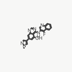 Cn1cc(-c2cc(O)c3c(Nc4cnc5ccccc5c4F)ncnc3c2)cn1